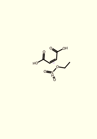 CCO[SH](=O)=O.O=C(O)/C=C\C(=O)O